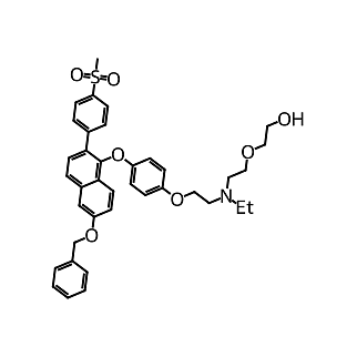 CCN(CCOCCO)CCOc1ccc(Oc2c(-c3ccc(S(C)(=O)=O)cc3)ccc3cc(OCc4ccccc4)ccc23)cc1